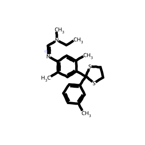 CCN(C)/C=N\c1cc(C)c(C2(c3cccc(C)c3)SCCS2)cc1C